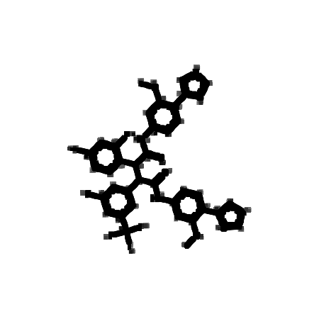 COc1cc(NC(=O)C(c2cc(F)cc(C(F)(F)F)c2)C(C(=O)Nc2ccc(-c3cnco3)c(OC)c2)c2ccc(F)cc2F)ccc1-c1cnco1